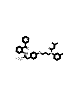 CC(C)=CC(=O)N(CCCOc1ccc(C[C@H](Nc2ccccc2C(=O)c2ccccc2)C(=O)O)cc1)c1cccc(C)c1